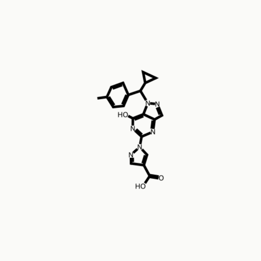 Cc1ccc(C(C2CC2)n2ncc3nc(-n4cc(C(=O)O)cn4)nc(O)c32)cc1